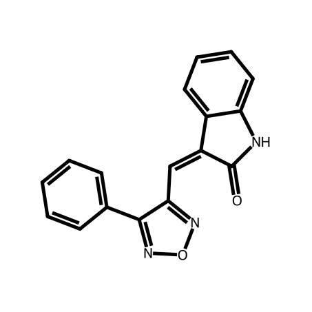 O=C1Nc2ccccc2/C1=C/c1nonc1-c1ccccc1